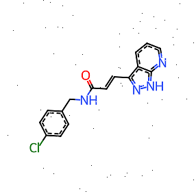 O=C(C=Cc1n[nH]c2ncccc12)NCc1ccc(Cl)cc1